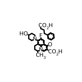 CC1CCc2c(N3CCC(O)CC3)c(F)cc3c(=O)c(C(=O)O)cn1c23.O=C(O)CCCc1ccccc1